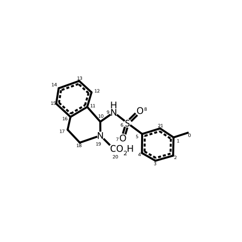 Cc1cccc(S(=O)(=O)NC2c3ccccc3CCN2C(=O)O)c1